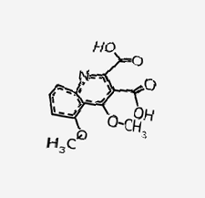 COc1cccc2nc(C(=O)O)c(C(=O)O)c(OC)c12